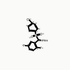 CCCCCCC(c1cc(F)ccc1F)S(=O)(=O)c1ccc(Cl)cc1